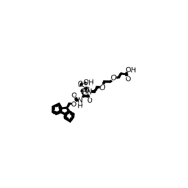 O=C(O)CCOCCOCCNC(=O)[C@H](CS(=O)(=O)O)NC(=O)OCC1c2ccccc2-c2ccccc21